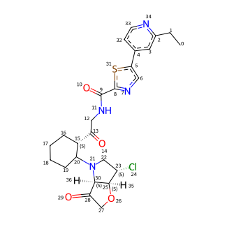 CCc1cc(-c2cnc(C(=O)NCC(=O)[C@H]3CCCCC3N3C[C@H](Cl)[C@H]4OCC(=O)[C@H]43)s2)ccn1